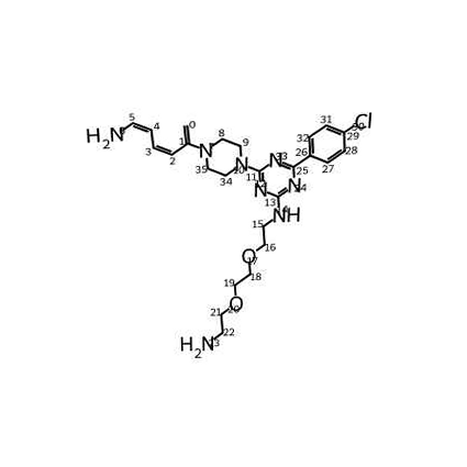 C=C(/C=C\C=C/N)N1CCN(c2nc(NCCOCCOCCN)nc(-c3ccc(Cl)cc3)n2)CC1